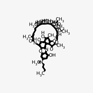 CCCCN(C)c1cc(O)c2nc3c4c5c6c(C)c(O)c4c(=O)c(c-3oc2c1)NC(=O)/C(C)=C\C=C\[C@H](C)[C@H](O)[C@@H](C)[C@@H](O)[C@@H](C)[C@H](OC(C)=O)[C@H](C)[C@@H](OC)/C=C/O[C@@](C)(O6)C5=O